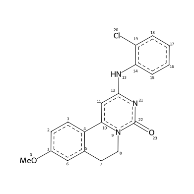 COc1ccc2c(c1)CCn1c-2cc(Nc2ccccc2Cl)nc1=O